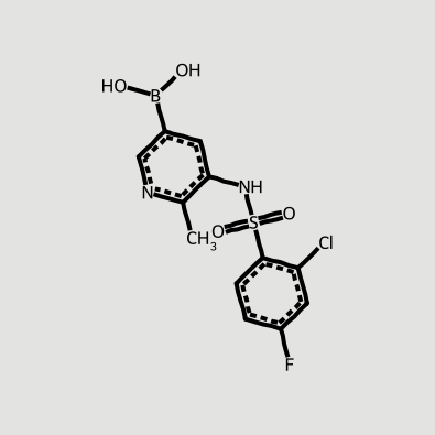 Cc1ncc(B(O)O)cc1NS(=O)(=O)c1ccc(F)cc1Cl